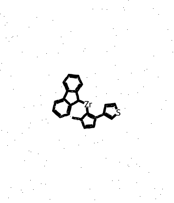 CC1C=CC(c2ccsc2)=[C]1[Zr][CH]1c2ccccc2-c2ccccc21